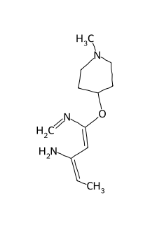 C=N/C(=C\C(N)=C/C)OC1CCN(C)CC1